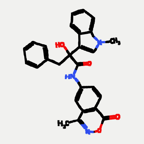 Cc1noc(=O)c2ccc(NC(=O)C(O)(Cc3ccccc3)c3cn(C)c4ccccc34)cc12